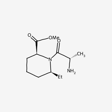 CC[C@H]1CCC[C@@H](C(=O)OC)N1C(=O)[C@H](C)N